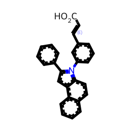 O=C(O)/C=C/c1cccc(-n2c(-c3ccccc3)cc3c4ccccc4ccc32)c1